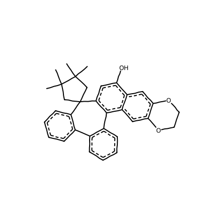 CC1(C)CC2(CC1(C)C)c1ccccc1-c1ccccc1-c1c2cc(O)c2cc3c(cc12)OCCO3